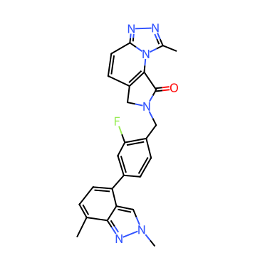 Cc1ccc(-c2ccc(CN3Cc4ccc5nnc(C)n5c4C3=O)c(F)c2)c2cn(C)nc12